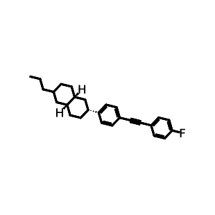 CCCC1CC[C@@H]2C[C@H](c3ccc(C#Cc4ccc(F)cc4)cc3)CC[C@@H]2C1